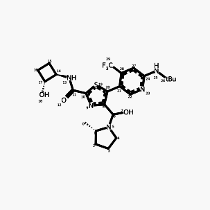 C[C@H]1CCCN1C(O)c1nc(C(=O)N[C@@H]2CC[C@H]2O)sc1-c1cnc(NC(C)(C)C)cc1C(F)(F)F